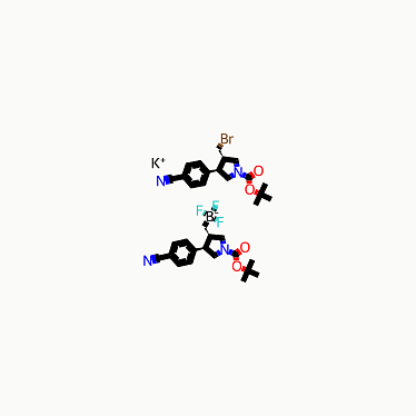 CC(C)(C)OC(=O)N1C[C@@H](CBr)[C@H](c2ccc(C#N)cc2)C1.CC(C)(C)OC(=O)N1C[C@@H](C[B-](F)(F)F)[C@H](c2ccc(C#N)cc2)C1.[K+]